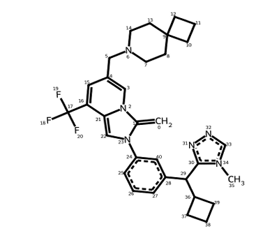 C=C1N2C=C(CN3CCC4(CCC4)CC3)C=C(C(F)(F)F)C2=CN1c1cccc(C(c2nncn2C)C2CCC2)c1